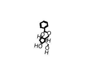 OC[C@H]1[C@@H]2COC(c3ccccc3)O[C@H]2C[C@H]1O